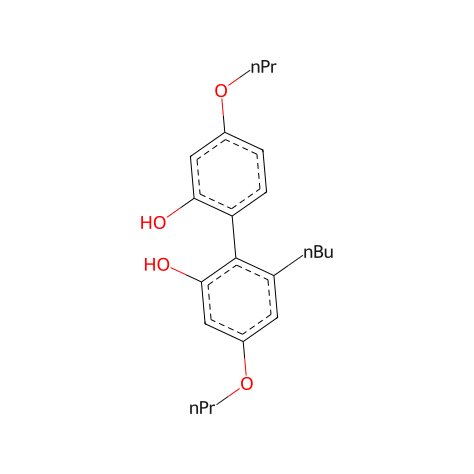 CCCCc1cc(OCCC)cc(O)c1-c1ccc(OCCC)cc1O